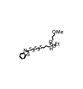 CCO[SiH](CCCSSSSSc1nc2ccccc2s1)OCCCOC